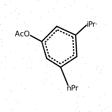 CCCc1cc(OC(C)=O)cc([C](C)C)c1